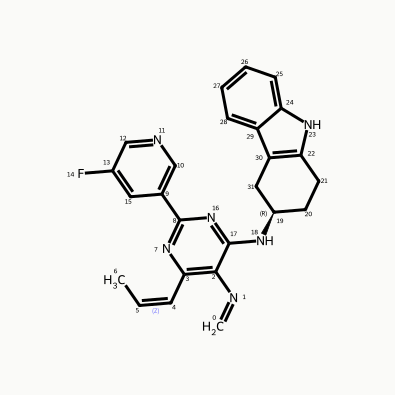 C=Nc1c(/C=C\C)nc(-c2cncc(F)c2)nc1N[C@@H]1CCc2[nH]c3ccccc3c2C1